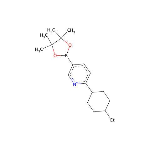 CCC1CCC(c2ccc(B3OC(C)(C)C(C)(C)O3)cn2)CC1